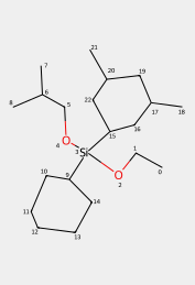 CCO[Si](OCC(C)C)(C1CCCCC1)C1CC(C)CC(C)C1